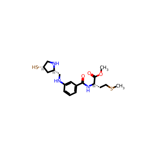 COC(=O)[C@H](CCSC)NC(=O)c1cccc(NC[C@@H]2C[C@H](S)CN2)c1